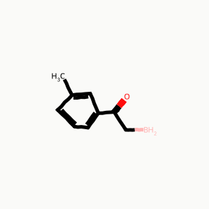 BCC(=O)c1cccc(C)c1